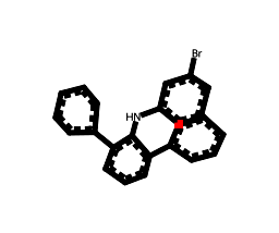 Brc1cccc(Nc2c(-c3ccccc3)cccc2-c2ccccc2)c1